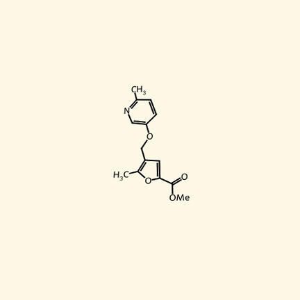 COC(=O)c1cc(COc2ccc(C)nc2)c(C)o1